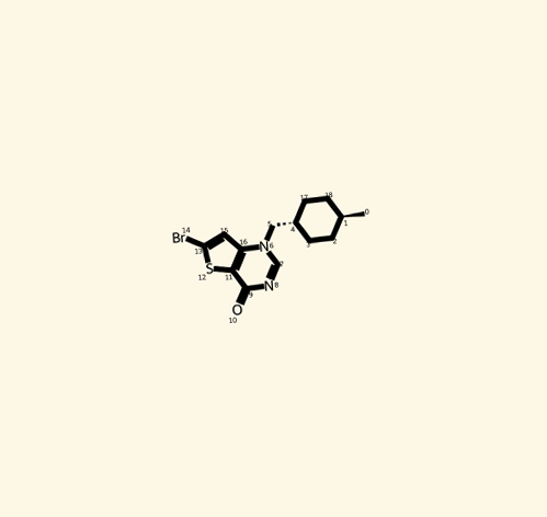 C[C@H]1CC[C@H](Cn2cnc(=O)c3sc(Br)cc32)CC1